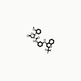 COc1ccccc1[C@@H]1OC(=O)C[C@H]1C(=O)Nc1cccc(Nc2cc(C(F)(F)F)nc3ccccc23)c1